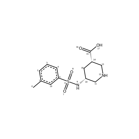 Cc1cccc(S(=O)(=O)N[C@H]2CNC[C@@H](C(=O)O)C2)c1